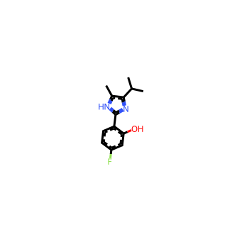 Cc1[nH]c(-c2ccc(F)cc2O)nc1C(C)C